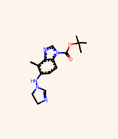 Cc1c(NN2C=NCC2)ccc2c1ncn2C(=O)OC(C)(C)C